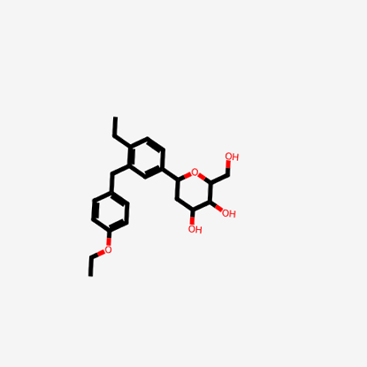 CCOc1ccc(Cc2cc(C3CC(O)C(O)C(CO)O3)ccc2CC)cc1